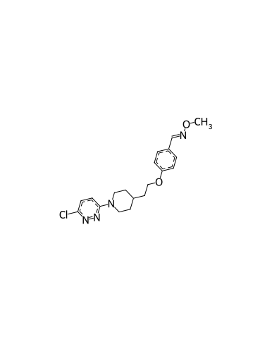 CON=Cc1ccc(OCCC2CCN(c3ccc(Cl)nn3)CC2)cc1